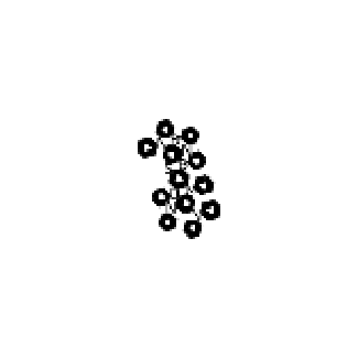 c1ccc(N(c2ccccc2)c2cc3c4c(c2)N(c2ccccc2)c2cc5c(cc2B4c2ccccc2N3c2ccccc2)Sc2cc3c4c6c2B5c2ccccc2N6c2ccccc2B4c2ccccc2N3c2ccccc2)cc1